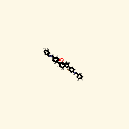 C(=C\c1ccc2c(c1)oc1c2ccc2c1ccc1c3ccc(/C=C/c4ccccc4)cc3sc12)/c1ccccc1